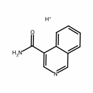 NC(=O)c1cncc2ccccc12.[H+]